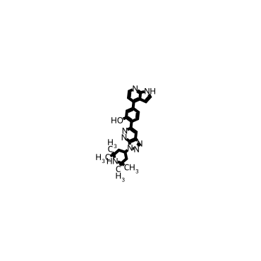 CC1(C)CC(n2nnc3cc(-c4ccc(-c5ccnc6[nH]ccc56)cc4O)nnc32)CC(C)(C)N1